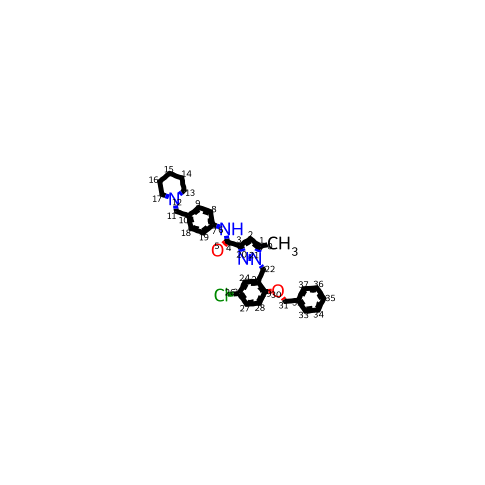 Cc1cc(C(=O)Nc2ccc(CN3CCCCC3)cc2)nn1Cc1cc(Cl)ccc1OCc1ccccc1